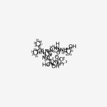 CCCN(C(=O)C(F)(F)F)[C@H]1C[C@@H](n2cnc3c(NCC(c4ccccc4)c4ccccc4)nc(N4CC[C@@H](NC(=O)NCc5cccc(O)c5)C4)nc32)[C@H](O)[C@@H]1O